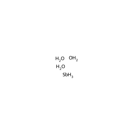 O.O.O.[SbH3]